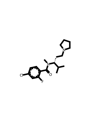 CC(C)[C@@H](CCN1CCCC1)N(C)C(=O)c1ccc(Cl)cc1F